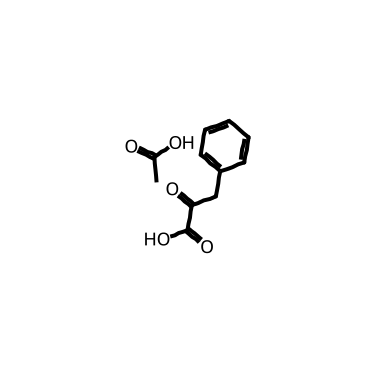 CC(=O)O.O=C(O)C(=O)Cc1ccccc1